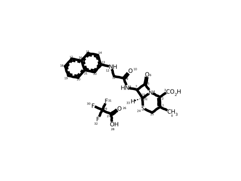 CC1=C(C(=O)O)N2C(=O)C(NC(=O)CNc3ccc4ccccc4c3)[C@@H]2SC1.O=C(O)C(F)(F)F